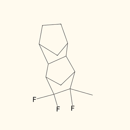 CC1(F)C2CC(C3C4CCC(C4)C32)C1(F)F